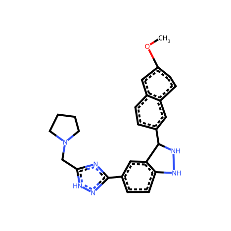 COc1ccc2cc(C3NNc4ccc(-c5n[nH]c(CN6CCCC6)n5)cc43)ccc2c1